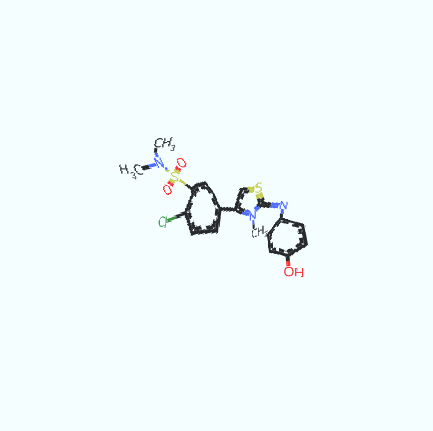 CN(C)S(=O)(=O)c1cc(-c2cs/c(=N/c3ccc(O)cc3)n2C)ccc1Cl